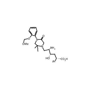 COCOc1ccccc1N1CC(C)(C)N(C[C@H](N)[C@@H](O)C[C@H](C(=O)O)C(C)C)CC1=O